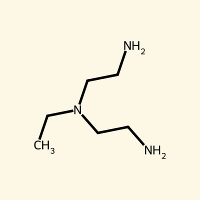 CCN(CCN)CCN